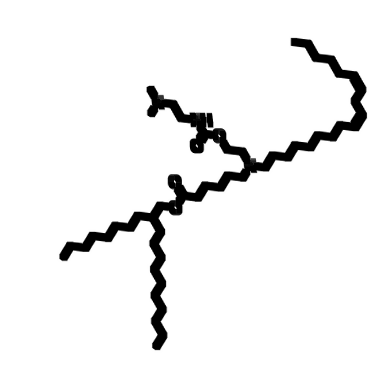 CCCCC/C=C\C/C=C\CCCCCCCCN(CCCCCC(=O)OCC(CCCCCCCC)CCCCCCCCCC)CCOC(=O)NCCN(C)C